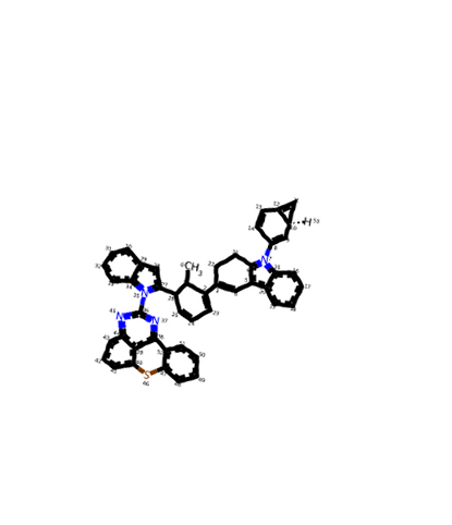 CC1C(C2=Cc3c(n(C4=C[C@@H]5C=C5C=C4)c4ccccc34)CC2)=CC=CC1c1cc2ccccc2n1-c1nc2c3c(cccc3n1)Sc1ccccc1-2